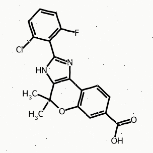 CC1(C)Oc2cc(C(=O)O)ccc2-c2nc(-c3c(F)cccc3Cl)[nH]c21